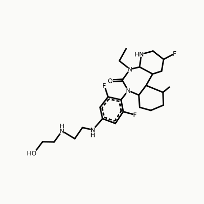 CCN1C(=O)N(c2c(F)cc(NCCNCCO)cc2F)C2CCCC(C)C2C2CC(F)CNC21